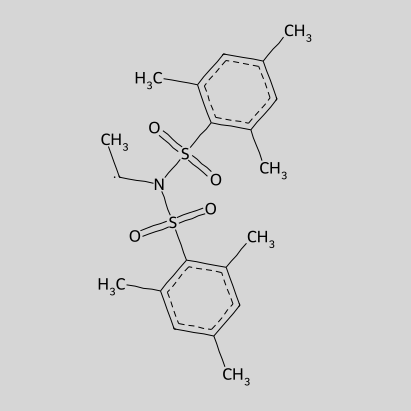 C[CH]N(S(=O)(=O)c1c(C)cc(C)cc1C)S(=O)(=O)c1c(C)cc(C)cc1C